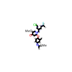 COc1cn(CC(/C=C/Cl)=C/C=C(\C)F)c(Oc2ccc(/N=C(/C)SC)cc2C)cc1=O